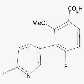 COc1c(C(=O)O)ccc(F)c1-c1ccc(C)nc1